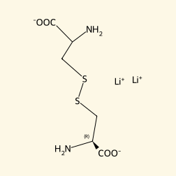 NC(CSSC[C@H](N)C(=O)[O-])C(=O)[O-].[Li+].[Li+]